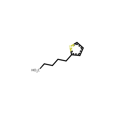 O=C(O)CCCCc1cccs1